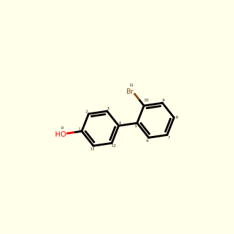 Oc1ccc(-c2ccccc2Br)cc1